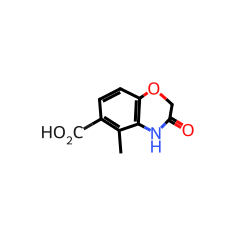 Cc1c(C(=O)O)ccc2c1NC(=O)CO2